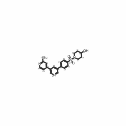 CC(C)(C)c1cc(-c2cncc(-c3ccc(S(=O)(=O)N4CCC(O)CC4)cc3)c2)ccn1